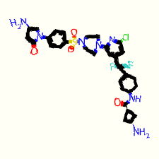 N[C@@H]1CC(=O)N(c2ccc(S(=O)(=O)N3CCN(c4cc(C(F)(F)C5CCC(NC(=O)[C@H]6C[C@@H](N)C6)CC5)cc(Cl)n4)CC3)cc2)C1